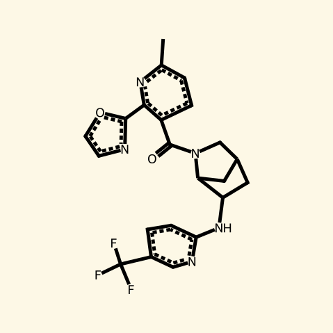 Cc1ccc(C(=O)N2CC3CC(Nc4ccc(C(F)(F)F)cn4)C2C3)c(-c2ncco2)n1